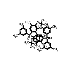 Cc1cc(C)cc(P(=O)(c2cc(C)cc(C)c2)c2cc(-c3c(P(=O)(c4cc(C)cc(C)c4)c4cc(C)cc(C)c4)cc(C)c4c3OC(C)(C)O4)c3c(c2C)OC(C)(C)O3)c1